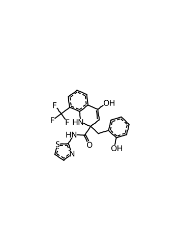 O=C(Nc1nccs1)C1(Cc2ccccc2O)C=C(O)c2cccc(C(F)(F)F)c2N1